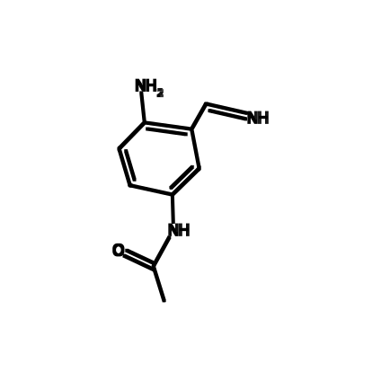 CC(=O)Nc1ccc(N)c(C=N)c1